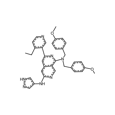 CCc1ccncc1-c1cc2cc(Nc3cn[nH]c3)ncc2c(N(Cc2ccc(OC)cc2)Cc2ccc(OC)cc2)n1